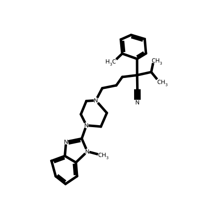 Cc1ccccc1C(C#N)(CCCN1CCN(c2nc3ccccc3n2C)CC1)C(C)C